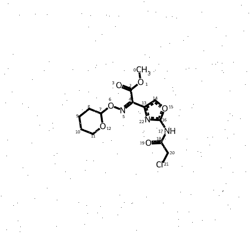 COC(=O)C(=NOC1CCCCO1)c1coc(NC(=O)CCl)n1